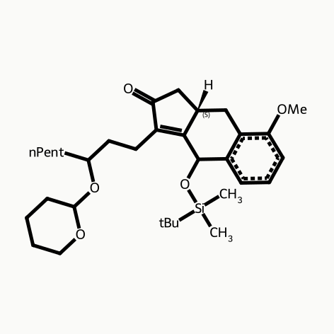 CCCCCC(CCC1=C2C(O[Si](C)(C)C(C)(C)C)c3cccc(OC)c3C[C@H]2CC1=O)OC1CCCCO1